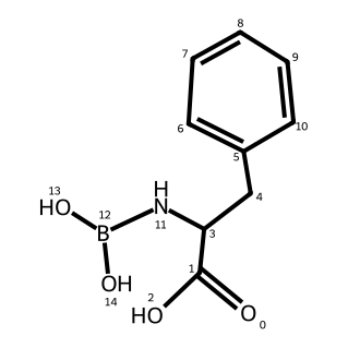 O=C(O)C(Cc1ccccc1)NB(O)O